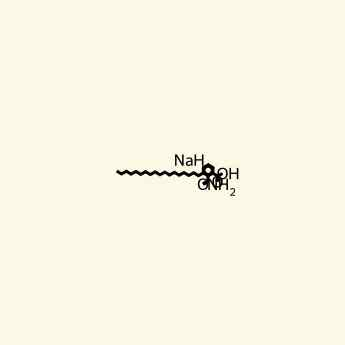 CCCCCCCCCCCCCCCCCCc1cccc(C(=O)O)c1C(N)=O.[NaH]